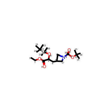 CCOC(=O)C(CC1CN(C(=O)OC(C)(C)C)C1)O[Si](C)(C)C(C)(C)C